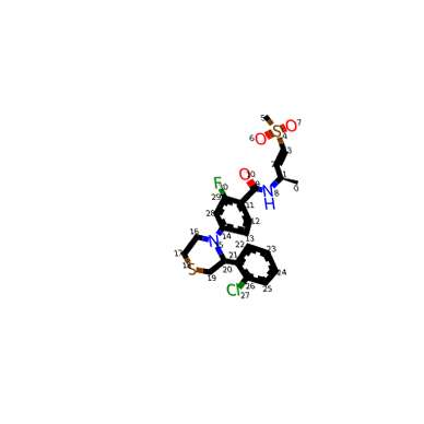 C[C@H](/C=C/S(C)(=O)=O)NC(=O)c1ccc(N2CCSCC2c2ccccc2Cl)cc1F